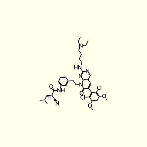 CCN(CC)CCCCNc1ncc2cc(-c3c(Cl)c(OC)cc(OC)c3Cl)c(=O)n(CCc3cccc(NC(=O)/C(C#N)=C/C(C)C)c3)c2n1